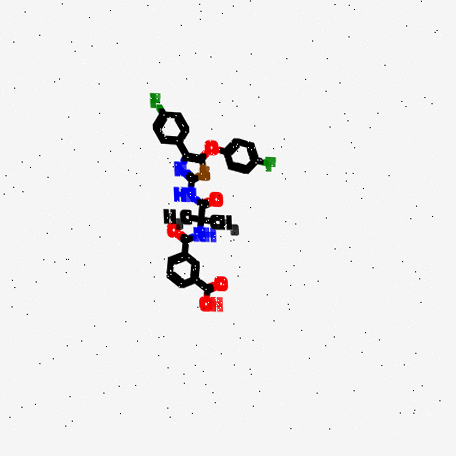 CC(C)(NC(=O)c1cccc(C(=O)O)c1)C(=O)Nc1nc(-c2ccc(F)cc2)c(Oc2ccc(F)cc2)s1